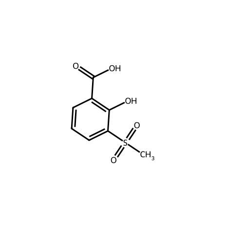 CS(=O)(=O)c1cccc(C(=O)O)c1O